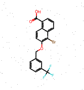 O=C(O)c1cccc2c(Br)c(OCc3cccc(C(F)(F)F)c3)ccc12